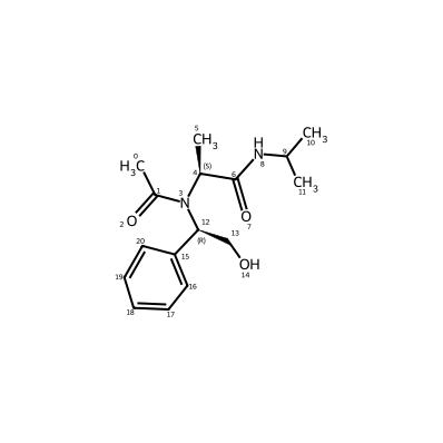 CC(=O)N([C@@H](C)C(=O)NC(C)C)[C@@H](CO)c1ccccc1